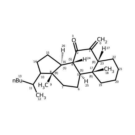 C=C1C(=O)[C@@H]2[C@H](CC[C@]3(C)C(C(C)CCCC)CC[C@@H]23)[C@@]2(C)CCCC[C@@H]12